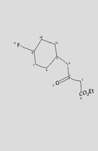 CCOC(=O)CC(=O)CC1CCC(F)CC1